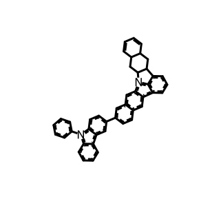 C1=CC2CC3c4cccc5c6cc7ccc(-c8ccc9c(c8)c8ccccc8n9-c8ccccc8)cc7cc6n(c45)C3CC2C=C1